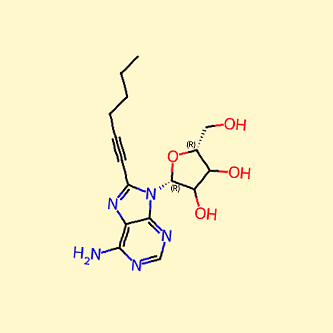 CCCCC#Cc1nc2c(N)ncnc2n1[C@@H]1O[C@H](CO)C(O)C1O